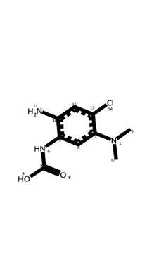 CN(C)c1cc(NC(=O)O)c(N)cc1Cl